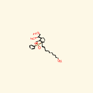 CC1C(C(O)CO)CCCC1(CCCCCCCCCCO)S(=O)(=O)c1ccccc1